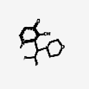 Cn1ccc(=O)c(O)c1C(C(F)F)N1CCOCC1